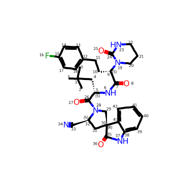 CC(C)(C)C[C@H](NC(=O)[C@H](CCc1ccc(F)cc1)N1CCCNC1=O)C(=O)N1C[C@]2(C[C@H]1C#N)C(=O)Nc1ccccc12